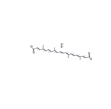 CC(/C=C/C=C(C)/C=C/C(=O)[O-])=C\C=C\C=C(C)\C=C\C=C(C)\C=C\C(=O)[O-].[K+].[K+]